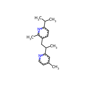 Cc1ccnc(C(C)Cc2ccc(C(C)C)nc2C)c1